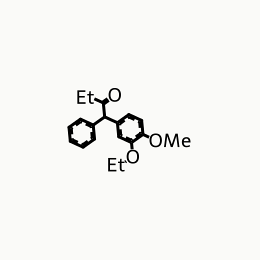 CCOc1cc(C(C(=O)CC)c2ccccc2)ccc1OC